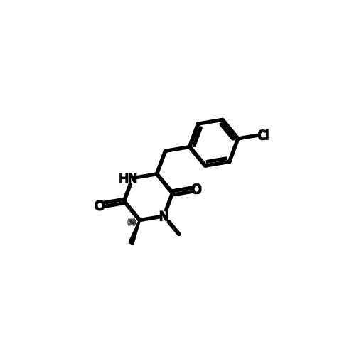 C[C@H]1C(=O)NC(Cc2ccc(Cl)cc2)C(=O)N1C